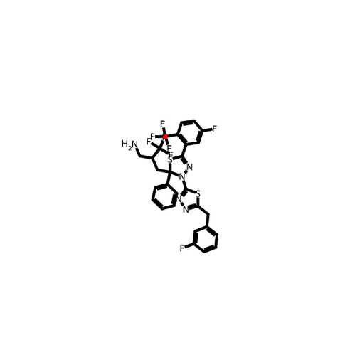 NCC(CC1(c2ccccc2)SC(c2cc(F)ccc2C(F)(F)F)=NN1c1nnc(Cc2cccc(F)c2)s1)C(F)(F)F